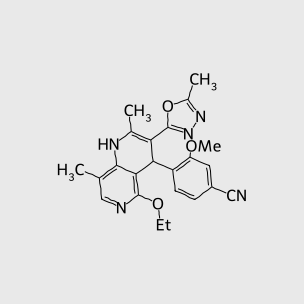 CCOc1ncc(C)c2c1C(c1ccc(C#N)cc1OC)C(c1nnc(C)o1)=C(C)N2